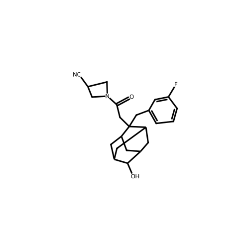 N#CC1CN(C(=O)CC2(Cc3cccc(F)c3)C3CC4CC2CC(C3)C4O)C1